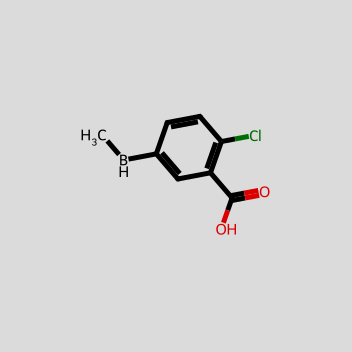 CBc1ccc(Cl)c(C(=O)O)c1